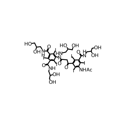 CC(=O)Nc1c(I)c(C(=O)CC(=O)N(NCC(O)CO)c2c(I)c(C(=O)NCC(O)CO)c(I)c(C(=O)NCC(O)CO)c2I)c(I)c(C(=O)NCC(O)CO)c1I